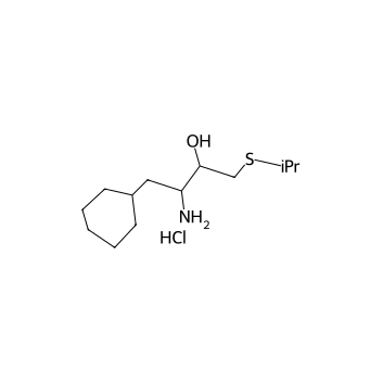 CC(C)SCC(O)C(N)CC1CCCCC1.Cl